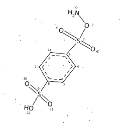 NOS(=O)(=O)c1ccc(S(=O)(=O)O)cc1